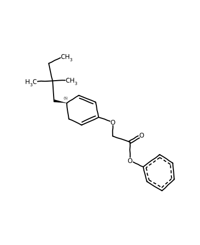 CCC(C)(C)C[C@H]1C=CC(OCC(=O)Oc2ccccc2)=CC1